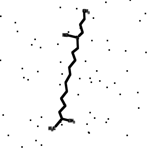 CCCCN(O)CCCCCCCCCCC(C)C